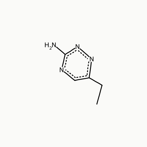 CCc1cnc(N)nn1